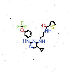 O=C(NCCCNc1nc(Nc2cccc(OC(F)(F)F)c2)ncc1C1CC1)c1cccs1